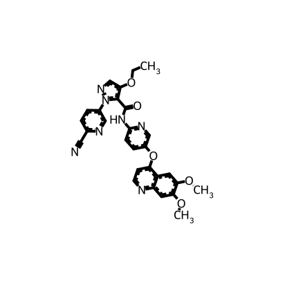 CCOc1cnn(-c2ccc(C#N)nc2)c1C(=O)Nc1ccc(Oc2ccnc3cc(OC)c(OC)cc23)cn1